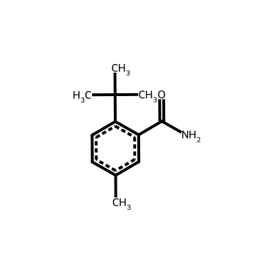 Cc1ccc(C(C)(C)C)c(C(N)=O)c1